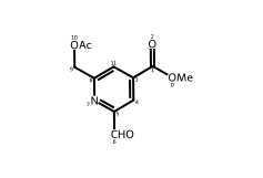 COC(=O)c1cc(C=O)nc(COC(C)=O)c1